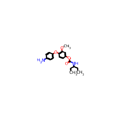 CCC(CC)NC(=O)Oc1ccc(Oc2ccc(N)cc2)c(OC)c1